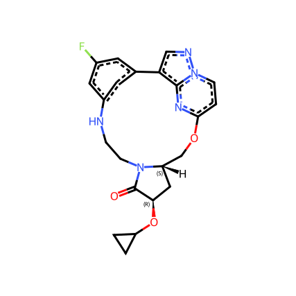 O=C1[C@H](OC2CC2)C[C@H]2COc3ccn4ncc(c4n3)-c3cc(F)cc(c3)NCCN12